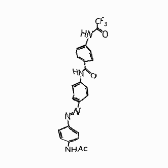 CC(=O)Nc1ccc(N=Nc2ccc(NC(=O)c3ccc(NC(=O)C(F)(F)F)cc3)cc2)cc1